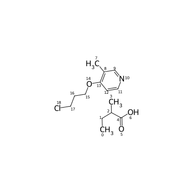 CCC(C)C(=O)O.Cc1cnccc1OCCCCl